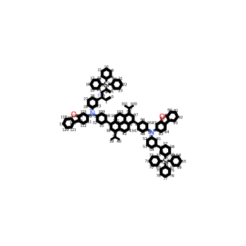 C=C/C(=C\C(=C)[Si](c1ccccc1)(c1ccccc1)c1ccccc1)c1cccc(N(c2ccc(-c3cc(C(C)C)c4ccc5c(-c6ccc(N(c7cccc(-c8cccc([Si](c9ccccc9)(c9ccccc9)c9ccccc9)c8)c7)c7ccc8c(c7)oc7ccccc78)cc6)cc(C(C)C)c6ccc3c4c56)cc2)c2ccc3c(c2)oc2ccccc23)c1